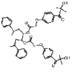 CC(CC(OC(=O)COc1ccc(C(=O)C(C)(C)O)cc1)C(CC(C)c1ccccc1)OC(=O)COc1ccc(C(=O)C(C)(C)O)cc1)c1ccccc1